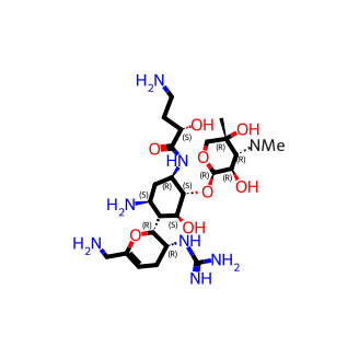 CN[C@@H]1[C@@H](O)[C@@H](O[C@H]2[C@H](NC(=O)[C@@H](O)CCN)C[C@H](N)C([C@H]3OC(CN)=CC[C@H]3NC(=N)N)[C@@H]2O)OC[C@]1(C)O